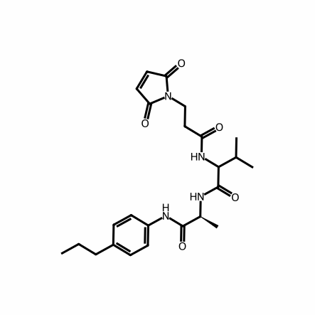 CCCc1ccc(NC(=O)[C@H](C)NC(=O)C(NC(=O)CCN2C(=O)C=CC2=O)C(C)C)cc1